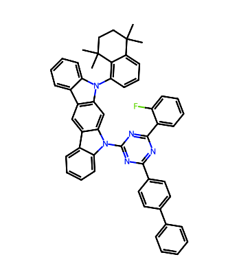 CC1(C)CCC(C)(C)c2c(-n3c4ccccc4c4cc5c6ccccc6n(-c6nc(-c7ccc(-c8ccccc8)cc7)nc(-c7ccccc7F)n6)c5cc43)cccc21